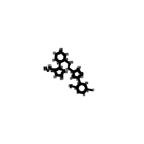 Cc1ccc(F)c(-c2nc(CSc3cnccc3-c3nncn3N)no2)c1